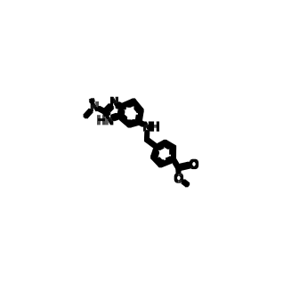 COC(=O)c1ccc(CNc2ccc3nc(N(C)C)[nH]c3c2)cc1